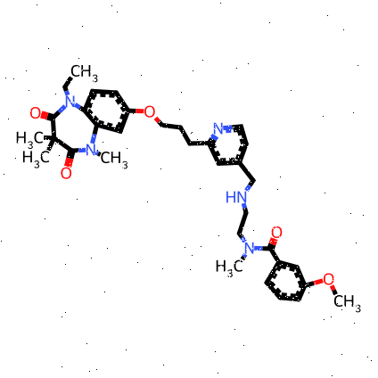 CCN1C(=O)C(C)(C)C(=O)N(C)c2cc(OCCCc3cc(CNCCN(C)C(=O)c4cccc(OC)c4)ccn3)ccc21